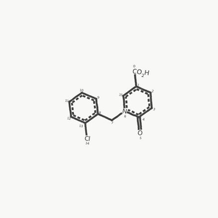 O=C(O)c1ccc(=O)n(Cc2ccccc2Cl)c1